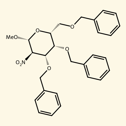 CO[C@@H]1O[C@H](COCc2ccccc2)[C@H](OCc2ccccc2)[C@H](OCc2ccccc2)[C@H]1[N+](=O)[O-]